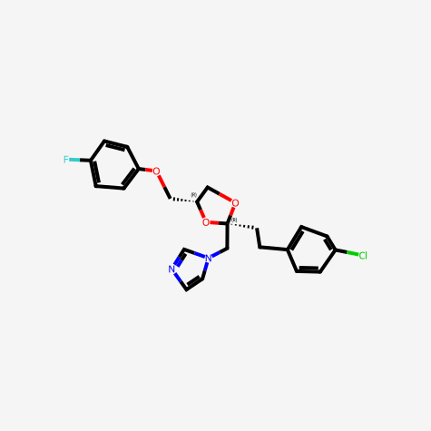 Fc1ccc(OC[C@@H]2CO[C@@](CCc3ccc(Cl)cc3)(Cn3ccnc3)O2)cc1